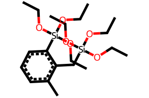 CCO[Si](Cc1c(C)cccc1[Si](OCC)(OCC)OCC)(OCC)OCC